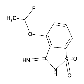 CC(F)Oc1cccc2c1C(=N)NS2(=O)=O